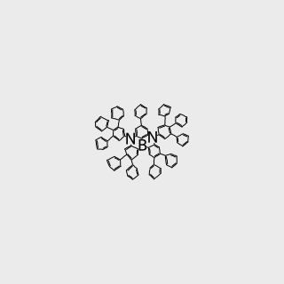 c1ccc(-c2cc3c4c(c2)N(c2cc(-c5ccccc5)c(-c5ccccc5)c(-c5ccccc5)c2)c2cc(-c5ccccc5)c(-c5ccccc5)cc2B4c2cc(-c4ccccc4)c(-c4ccccc4)cc2N3c2cc(-c3ccccc3)c(-c3ccccc3)c(-c3ccccc3)c2)cc1